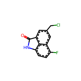 O=C1Nc2ccc(F)c3cc(CCl)cc1c23